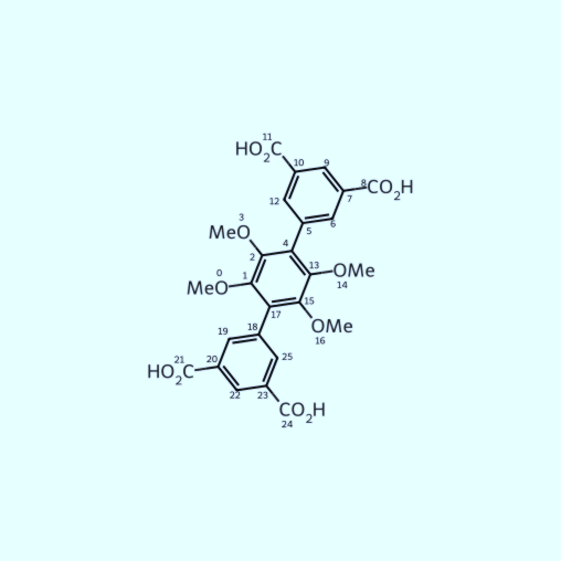 COc1c(OC)c(-c2cc(C(=O)O)cc(C(=O)O)c2)c(OC)c(OC)c1-c1cc(C(=O)O)cc(C(=O)O)c1